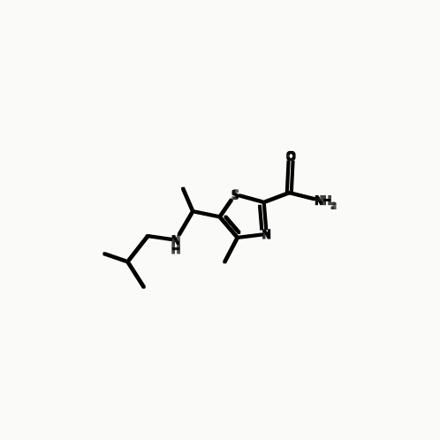 Cc1nc(C(N)=O)sc1C(C)NCC(C)C